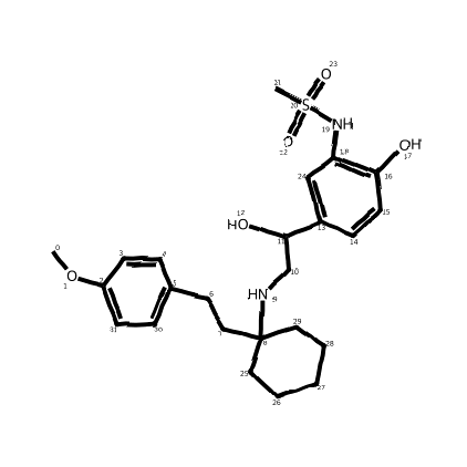 COc1ccc(CCC2(NCC(O)c3ccc(O)c(NS(C)(=O)=O)c3)CCCCC2)cc1